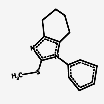 CSc1nc2c(n1-c1ccccc1)CCCC2